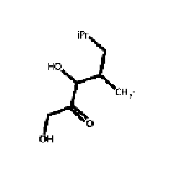 [CH2]C(CC(C)C)C(O)C(=O)CO